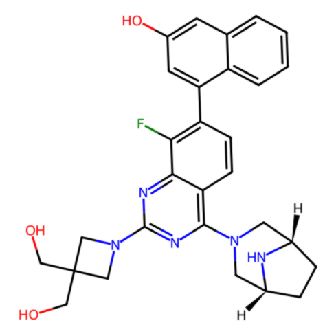 OCC1(CO)CN(c2nc(N3C[C@H]4CC[C@@H](C3)N4)c3ccc(-c4cc(O)cc5ccccc45)c(F)c3n2)C1